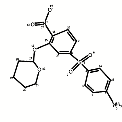 Nc1ccc(S(=O)(=O)c2ccc([N+](=O)[O-])c(OC3CCCCO3)c2)cc1